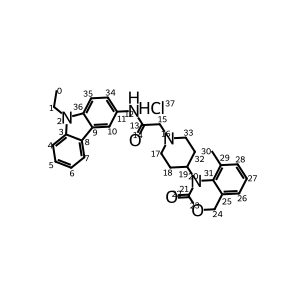 CCn1c2ccccc2c2cc(NC(=O)CN3CCC(N4C(=O)OCc5cccc(C)c54)CC3)ccc21.Cl